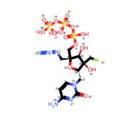 [N-]=[N+]=NC[C@]1(COP(=O)(O)OP(=O)(O)OP(=O)(O)O)O[C@@H](Cn2ccc(N)nc2=O)[C@@](O)(CF)[C@@H]1O